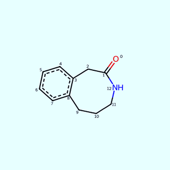 O=C1Cc2ccccc2CCCN1